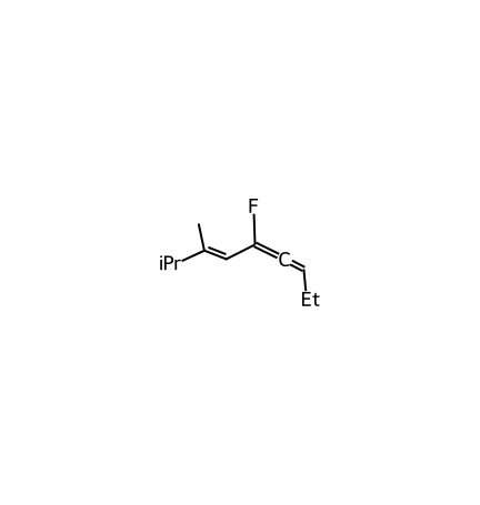 CCC=C=C(F)/C=C(\C)C(C)C